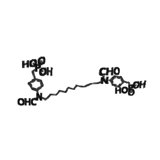 O=CN(CCCCCCCCCCCN(C=O)c1ccc(CP(=O)(O)O)cc1)c1ccc(CP(=O)(O)O)cc1